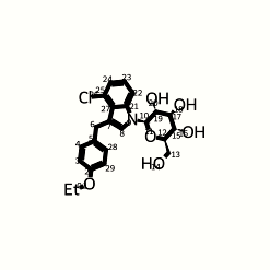 CCOc1ccc(Cc2cn([C@@H]3O[C@H](CO)[C@@H](O)[C@H](O)[C@H]3O)c3cccc(Cl)c23)cc1